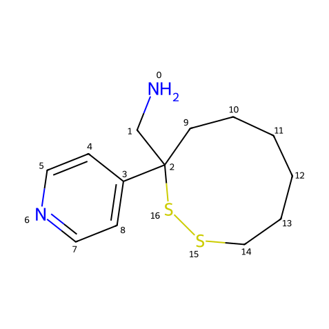 NCC1(c2ccncc2)CCCCCCSS1